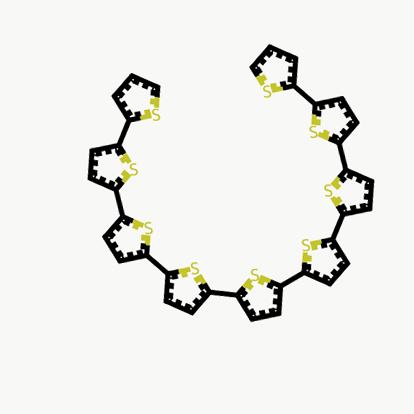 c1csc(-c2ccc(-c3ccc(-c4ccc(-c5ccc(-c6ccc(-c7ccc(-c8ccc(-c9cccs9)s8)s7)s6)s5)s4)s3)s2)c1